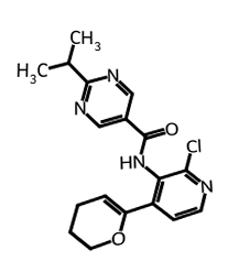 CC(C)c1ncc(C(=O)Nc2c(C3=CCCCO3)ccnc2Cl)cn1